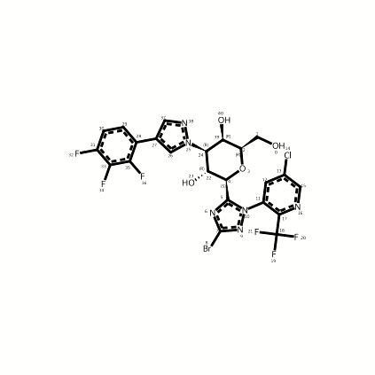 OC[C@H]1O[C@@H](c2nc(Br)nn2-c2cc(Cl)cnc2C(F)(F)F)[C@H](O)[C@@H](n2cc(-c3ccc(F)c(F)c3F)cn2)[C@H]1O